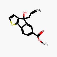 C=CCC1(O)c2cc(C(=O)OC)ccc2-c2sccc21